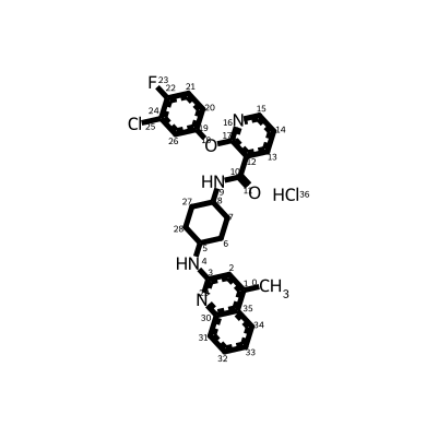 Cc1cc(NC2CCC(NC(=O)c3cccnc3Oc3ccc(F)c(Cl)c3)CC2)nc2ccccc12.Cl